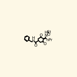 CCCC(NOCC)=C1C(=O)CC(C(=O)NCc2ccccc2)CC1=O